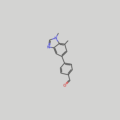 Cc1cc(-c2ccc(C=O)cc2)cc2ncn(C)c12